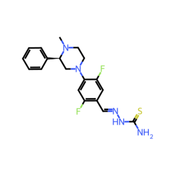 CN1CCN(c2cc(F)c(C=NNC(N)=S)cc2F)C[C@H]1c1ccccc1